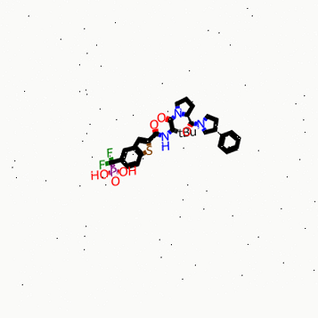 CC(C)(C)C(NC(=O)c1cc2cc(C(F)(F)P(=O)(O)O)ccc2s1)C(=O)N1CCC[C@H]1C(=O)N1CC[C@H](c2ccccc2)C1